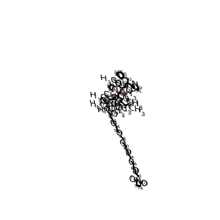 CCC(C)C(C(CC(=O)N1CCC[C@H]1C(OC)C(C)C(=O)NC(Cc1ccccc1)c1nccs1)OC)N(C)C(=O)C(NC(=O)C(C)(C)NC(=O)CCOCCOCCOCCOCCOCCOCCN1C(=O)C=CC1=O)C(C)C